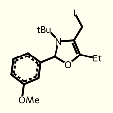 CCC1=C(CI)N(C(C)(C)C)C(c2cccc(OC)c2)O1